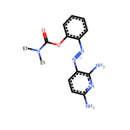 CCN(CC)C(=O)Oc1ccccc1/N=N/c1ccc(N)nc1N